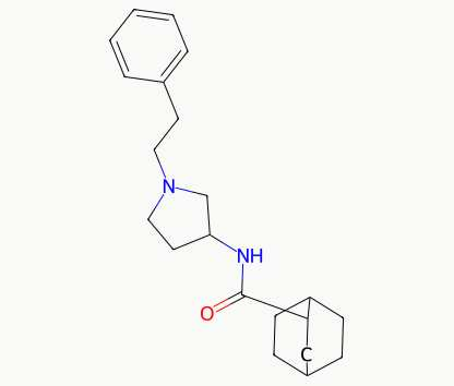 O=C(NC1CCN(CCc2ccccc2)C1)C1CC2CCC1CC2